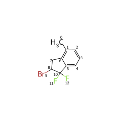 Cc1cccc2c1CC(Br)C2(F)F